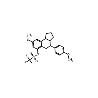 COc1ccc(C2Cc3c(OS(=O)(=O)C(F)(F)F)cc(OC)cc3C3CCCC23)cc1